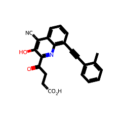 Cc1ccccc1C#Cc1cccc2c(C#N)c(O)c(C(=O)CCC(=O)O)nc12